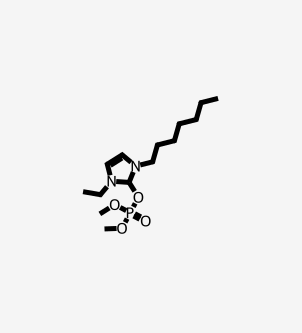 CCCCCCCN1C=CN(CC)C1OP(=O)(OC)OC